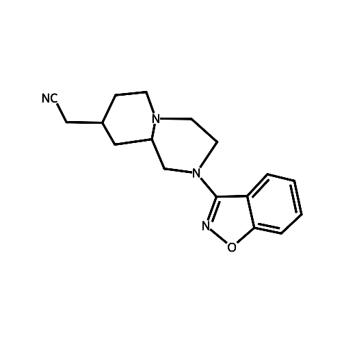 N#CCC1CCN2CCN(c3noc4ccccc34)CC2C1